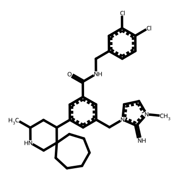 CC1CC(c2cc(Cn3ccn(C)c3=N)cc(C(=O)NCc3ccc(Cl)c(Cl)c3)c2)C2(CCCCCC2)CN1